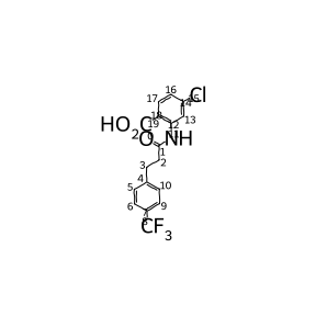 O=C(CCc1ccc(C(F)(F)F)cc1)Nc1cc(Cl)ccc1C(=O)O